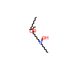 CCCCCCCCN(CCO)CCCCCCCC(=O)OC(C)(CCC)CCCCCCCC